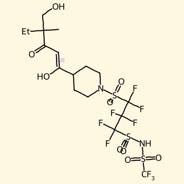 CCC(C)(CO)C(=O)/C=C(\O)C1CCN(S(=O)(=O)C(F)(F)C(F)(F)C(F)(F)S(=O)(=O)NS(=O)(=O)C(F)(F)F)CC1